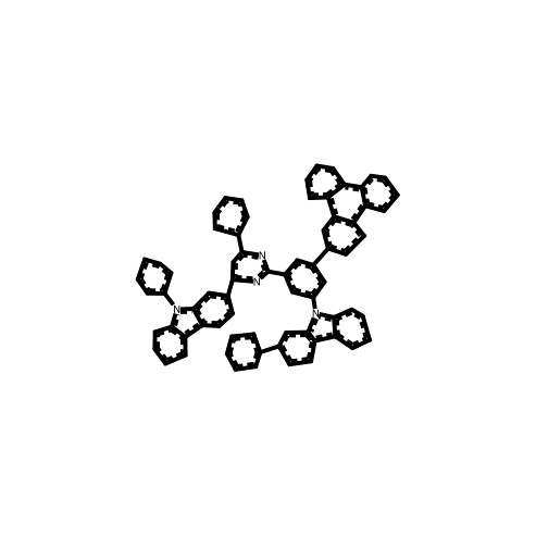 c1ccc(-c2ccc3c4ccccc4n(-c4cc(-c5ccc6c7ccccc7c7ccccc7c6c5)cc(-c5nc(-c6ccccc6)cc(-c6ccc7c8ccccc8n(-c8ccccc8)c7c6)n5)c4)c3c2)cc1